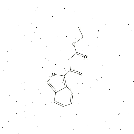 CCOC(=O)CC(=O)c1occ2ccccc12